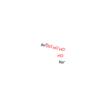 [Au+3].[Na+].[OH-].[OH-].[OH-].[OH-]